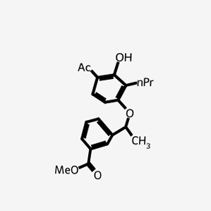 CCCc1c(OC(C)c2cccc(C(=O)OC)c2)ccc(C(C)=O)c1O